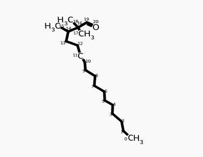 CCCCCCCCCCCCCCC(C)C(C)(C)C=O